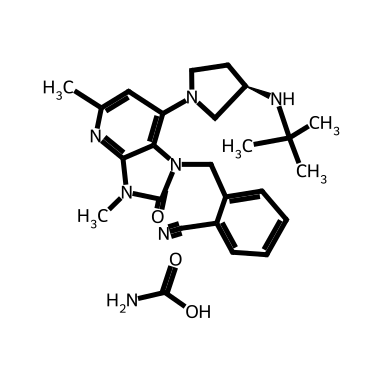 Cc1cc(N2CC[C@@H](NC(C)(C)C)C2)c2c(n1)n(C)c(=O)n2Cc1ccccc1C#N.NC(=O)O